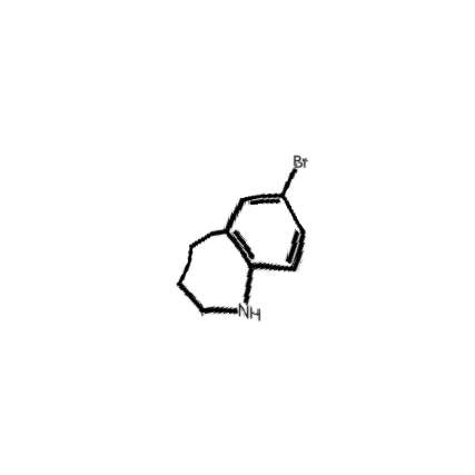 Brc1ccc2c(c1)CC[CH]N2